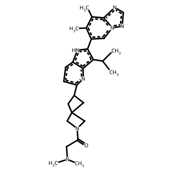 Cc1c(-c2[nH]c3ccc(C4CC5(C4)CN(C(=O)CN(C)C)C5)nc3c2C(C)C)cn2ncnc2c1C